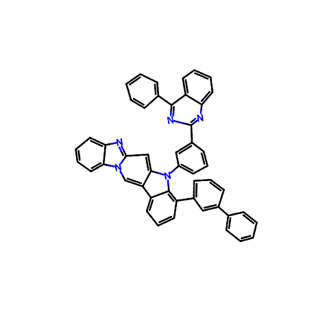 c1ccc(-c2cccc(-c3cccc4c5cn6c(cc5n(-c5cccc(-c7nc(-c8ccccc8)c8ccccc8n7)c5)c34)nc3ccccc36)c2)cc1